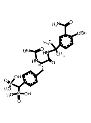 CC(C)COc1ccc(C(C)(C)NC(=O)[C@H](Cc2ccc(C(P(=O)(O)O)P(=O)(O)O)cc2)NC(=O)C(C)(C)C)cc1C(N)=O